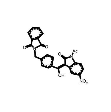 CC(=O)N1C(=O)/C(=C(/O)c2ccc(CN3C(=O)c4ccccc4C3=O)cc2)c2cc([N+](=O)[O-])ccc21